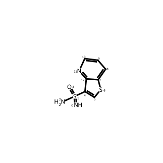 N=S(N)(=O)c1csc2cccnc12